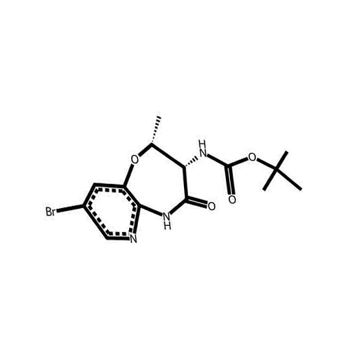 C[C@H]1Oc2cc(Br)cnc2NC(=O)[C@H]1NC(=O)OC(C)(C)C